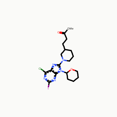 COC(=O)CCC1CCCN(c2nc3c(Cl)nc(I)nc3n2C2CCCCO2)C1